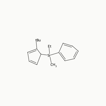 CC[Si](C)([C]1C=CC=C1C(C)(C)C)c1ccccc1